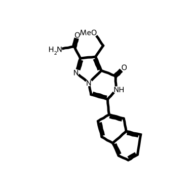 COCc1c(C(N)=O)nn2cc(-c3ccc4ccccc4c3)[nH]c(=O)c12